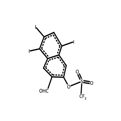 O=Cc1cc2c(I)c(I)cc(I)c2cc1OS(=O)(=O)C(F)(F)F